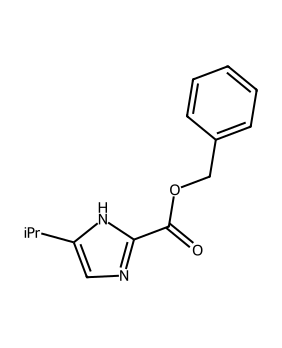 CC(C)c1cnc(C(=O)OCc2ccccc2)[nH]1